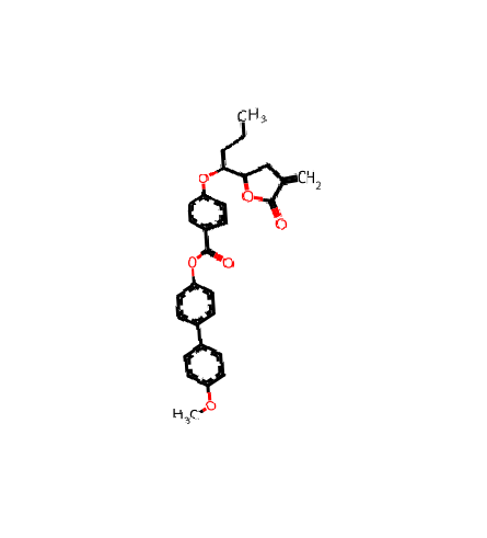 C=C1CC(C(CCC)Oc2ccc(C(=O)Oc3ccc(-c4ccc(OC)cc4)cc3)cc2)OC1=O